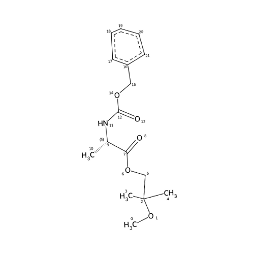 COC(C)(C)COC(=O)[C@H](C)NC(=O)OCc1ccccc1